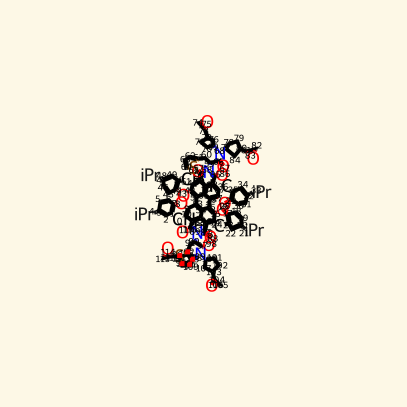 Cc1cc(C(C)C)ccc1Oc1cc2c3c(cc(Oc4ccc(C(C)C)cc4C)c4c5c(Oc6ccc(C(C)C)cc6C)cc6c7c(cc(Oc8ccc(C(C)C)cc8C)c(c1c34)c75)C(=O)N(C(Cc1cccs1)C(=O)N(C1CCC(C3CO3)C1)C1CCC(C3CO3)C1)C6=O)C(=O)N(C(Cc1cccs1)C(=O)N(C1CCC(C3CO3)C1)C1CCC(C3CO3)C1)C2=O